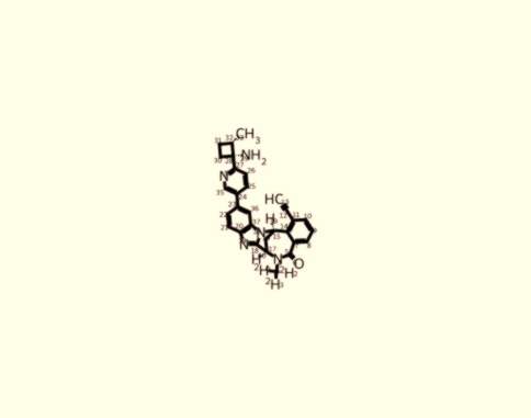 [2H]C([2H])([2H])N1C(=O)c2cccc(C#C)c2[C@H]2C[C@@H]1c1nc3ccc(-c4ccc([C@@]5(N)CC[C@@H]5C)nc4)cc3n12